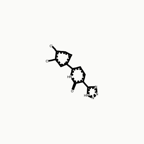 O=c1[nH]c(-c2ccc(Cl)c(Cl)c2)ccc1-c1nnn[nH]1